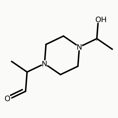 C[C](O)N1CCN(C(C)C=O)CC1